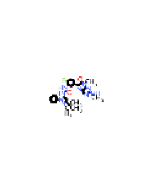 CNc1ncc2nc(-c3ccc(F)c(NC(=O)Nc4cc(C(C)(C)C)nn4-c4ccccc4)c3)c(=O)n(C)c2n1